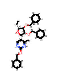 CC[C@H]1O[C@@H](c2cnc(OCc3ccccc3)nc2C)[C@@H](OCc2ccccc2)C1OCc1ccccc1